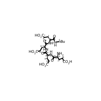 CCCCNC(=O)[C@H](CCC(=O)O)NC(=O)[C@H](CCC(=O)O)NC(=O)[C@H](CCC(=O)O)NC(=O)[C@@H](N)CCC(=O)O